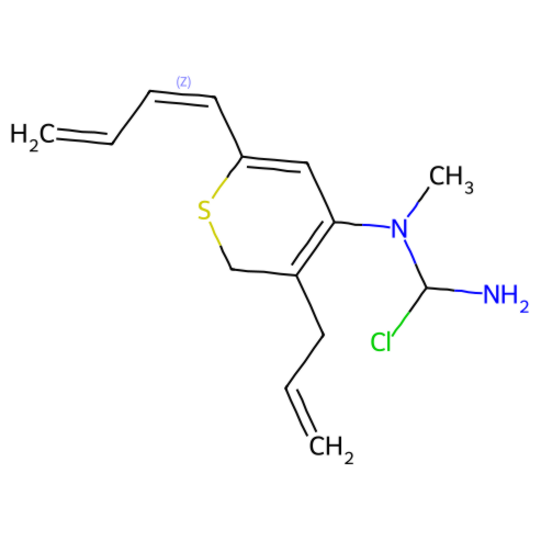 C=C/C=C\C1=CC(N(C)C(N)Cl)=C(CC=C)CS1